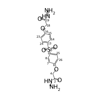 NNC(=O)COc1ccc(S(=O)(=O)c2ccc(OCC(=O)NN)cc2)cc1